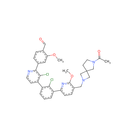 COc1cc(-c2nccc(-c3cccc(-c4ccc(CN5CC6(CCN(C(C)=O)C6)C5)c(OC)n4)c3Cl)c2Cl)ccc1C=O